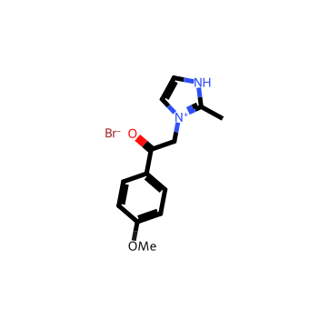 COc1ccc(C(=O)C[n+]2cc[nH]c2C)cc1.[Br-]